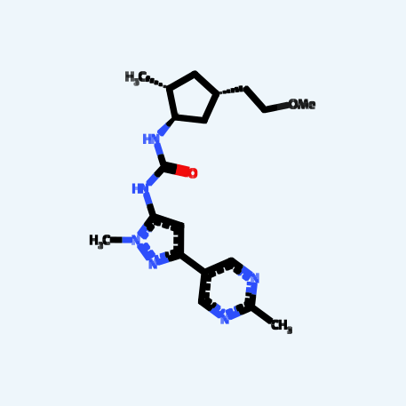 COCC[C@H]1C[C@@H](C)[C@H](NC(=O)Nc2cc(-c3cnc(C)nc3)nn2C)C1